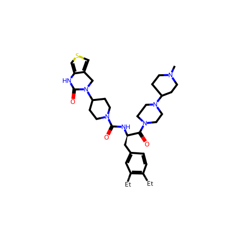 CCc1ccc(C[C@@H](NC(=O)N2CCC(N3Cc4cscc4NC3=O)CC2)C(=O)N2CCN(C3CCN(C)CC3)CC2)cc1CC